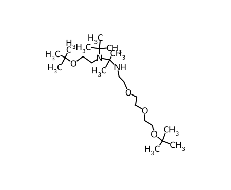 CC(C)(C)OCCOCCOCCNC(C)(C)N(CCOC(C)(C)C)C(C)(C)C